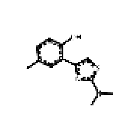 Cc1ccc(O)c(-c2csc(N(C)C)n2)c1